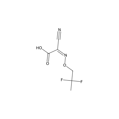 CC(F)(F)CON=C(C#N)C(=O)O